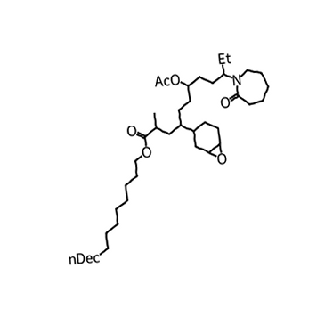 CCCCCCCCCCCCCCCCCCOC(=O)C(C)CC(CCC(CCC(CC)N1CCCCCC1=O)OC(C)=O)C1CCC2OC2C1